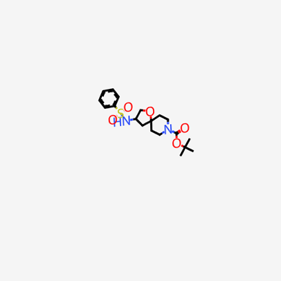 CC(C)(C)OC(=O)N1CCC2(CC1)CC(NS(=O)(=O)c1ccccc1)CO2